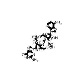 [N-]=[N+]=N[C@H]1[C@H]2OP(=O)(O)OC[C@H]3O[C@@H](n4cnc5c(N)ccnc54)[C@H](O)[C@@H]3OP(=O)(O)OC[C@H]1O[C@H]2n1cnc2c(=O)[nH]c(N)nc21